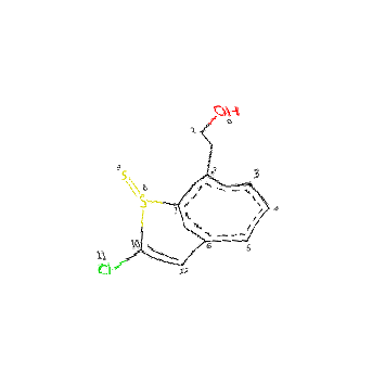 OCc1cccc2c1S(=S)C(Cl)=C2